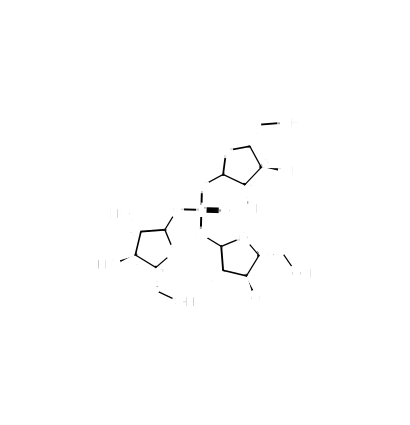 O=P(OC1O[C@H](CO)[C@@H](O)[C@@H]1O)(OC1O[C@H](CO)[C@@H](O)[C@@H]1O)OC1O[C@H](CO)[C@@H](O)[C@@H]1O